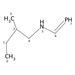 CCC(C)CNC=P